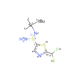 CC(C)(C)[Si](C)(C)/N=S(\N)c1cnc(C(F)F)s1